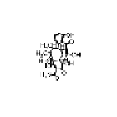 CC1C(C)N(C)[C@@H]2C(O)=C(C(N)=O)C(=O)[C@@]3(O)C(O)=C4C(=O)c5c(O)cccc5[C@H]1[C@H]4C[C@@H]23